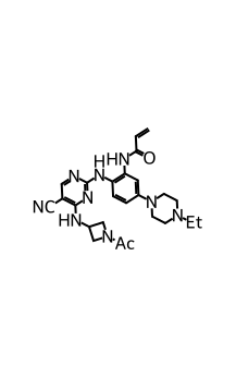 C=CC(=O)Nc1cc(N2CCN(CC)CC2)ccc1Nc1ncc(C#N)c(NC2CN(C(C)=O)C2)n1